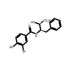 CC(C)c1ccc(C(=O)N[C@H](Cc2ccccc2)[C@@H](O)C(=O)O)cc1Br